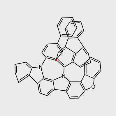 c1ccc(-c2ccc(-n3c4ccccc4c4ccc5c6ccc7oc8ccccc8c7c6n(-c6ccc7c8c(cccc68)-c6ccccc6-7)c5c43)cc2)cc1